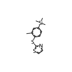 Cc1cc([Si](C)(C)C)ccc1Sc1nccs1